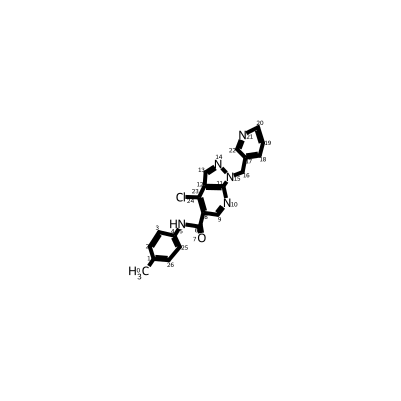 Cc1ccc(NC(=O)c2cnc3c(cnn3Cc3cccnc3)c2Cl)cc1